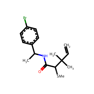 C=CC(C)(C)C(SC)C(=O)NC(C)c1ccc(Br)cc1